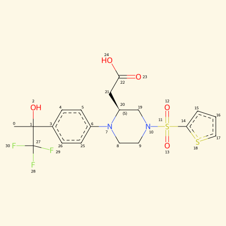 CC(O)(c1ccc(N2CCN(S(=O)(=O)c3cccs3)C[C@@H]2CC(=O)O)cc1)C(F)(F)F